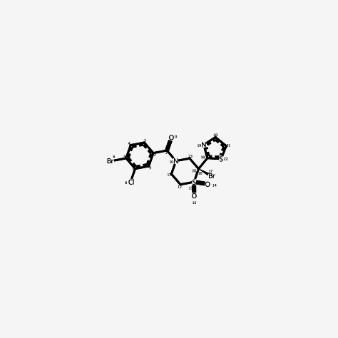 O=C(c1ccc(Br)c(Cl)c1)N1CCS(=O)(=O)[C@@](Br)(c2nccs2)C1